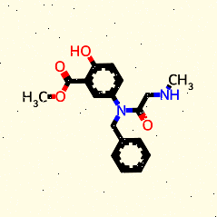 CNCC(=O)N(Cc1ccccc1)c1ccc(O)c(C(=O)OC)c1